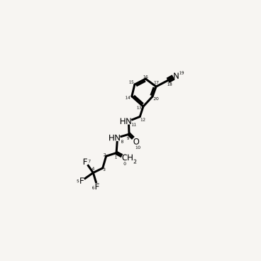 C=C(CCC(F)(F)F)NC(=O)NCc1cccc(C#N)c1